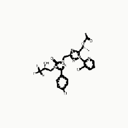 CC(=O)O[C@H](C)c1nc(Cn2nc(-c3ccc(Cl)cc3)n(C[C@H](O)C(F)(F)F)c2=O)nn1-c1ncccc1Cl